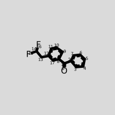 O=C(c1ccccc1)c1cccc(CC(F)F)c1